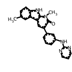 Cc1ccc2[nH]c3c(cc(-c4cccc(Nc5ncccn5)c4)c(=O)n3C)c2c1